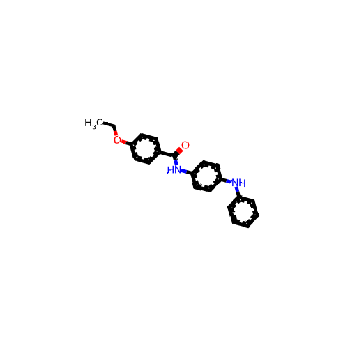 CCOc1ccc(C(=O)Nc2ccc(Nc3ccccc3)cc2)cc1